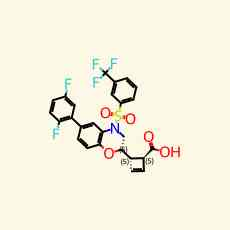 O=C(O)[C@H]1C=C[C@@H]1[C@H]1CN(S(=O)(=O)c2cccc(C(F)(F)F)c2)c2cc(-c3cc(F)ccc3F)ccc2O1